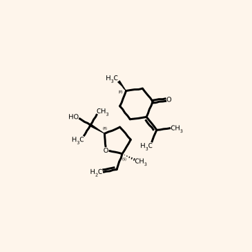 C=C[C@]1(C)CC[C@H](C(C)(C)O)O1.CC(C)=C1CC[C@@H](C)CC1=O